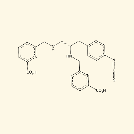 O=C(O)c1cccc(CNC[C@H](Cc2ccc(N=C=S)cc2)NCc2cccc(C(=O)O)n2)n1